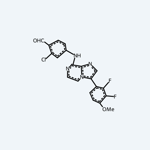 COc1ccc(-c2cnc3c(Nc4ccc(C=O)c(Cl)c4)nccn23)c(F)c1F